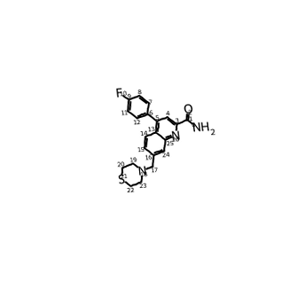 NC(=O)c1cc(-c2ccc(F)cc2)c2ccc(CN3CCSCC3)cc2n1